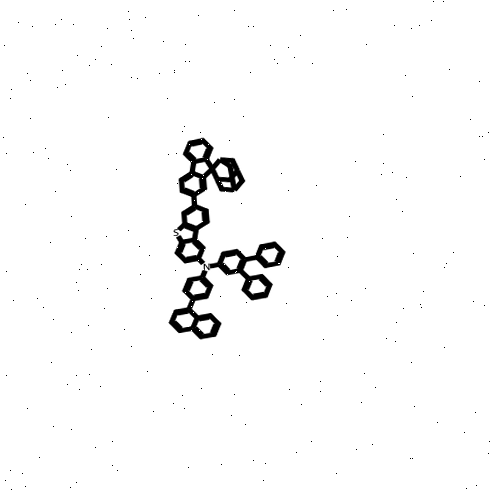 c1ccc(-c2ccc(N(c3ccc(-c4cccc5ccccc45)cc3)c3ccc4sc5cc(-c6ccc7c(c6)C6(c8ccccc8-7)C7CC8CC(C7)CC6C8)ccc5c4c3)cc2-c2ccccc2)cc1